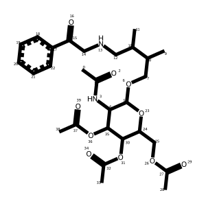 CC(=O)NC1C(OCC(C)C(C)CNCC(=O)c2ccccc2)OC(COC(C)=O)C(OC(C)=O)C1OC(C)=O